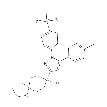 Cc1ccc(-c2cc(C3(O)CCC4(CC3)OCCO4)nn2-c2ccc(S(C)(=O)=O)cc2)cc1